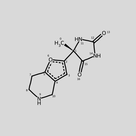 C[C@@]1(c2cc3c(o2)CCNC3)NC(=O)NC1=O